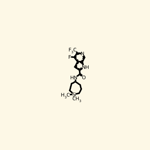 C[Si]1(C)CCCC(NC(=O)c2cc3c(F)c(C(F)(F)F)ncc3[nH]2)CC1